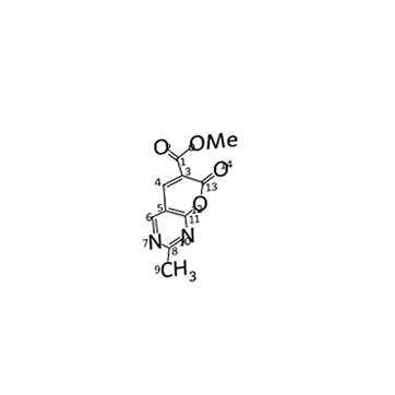 COC(=O)c1cc2cnc(C)nc2oc1=O